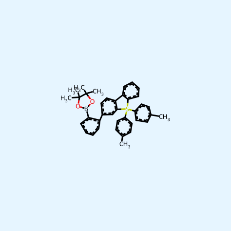 Cc1ccc(S2(c3ccc(C)cc3)c3ccccc3-c3ccc(-c4ccccc4B4OC(C)(C)C(C)(C)O4)cc32)cc1